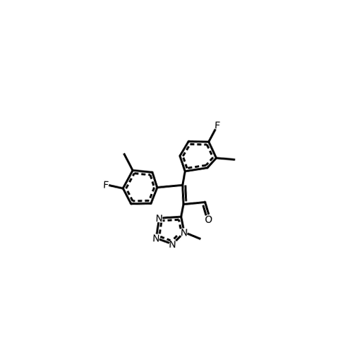 Cc1cc(C(=C(C=O)c2nnnn2C)c2ccc(F)c(C)c2)ccc1F